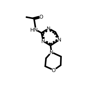 CC(=O)Nc1ncnc(N2CCOCC2)n1